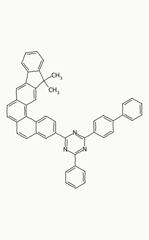 CC1(C)c2ccccc2-c2cc3ccc4ccc5cc(-c6nc(-c7ccccc7)nc(-c7ccc(-c8ccccc8)cc7)n6)ccc5c4c3cc21